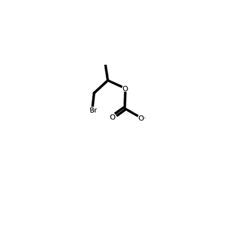 CC(CBr)OC([O])=O